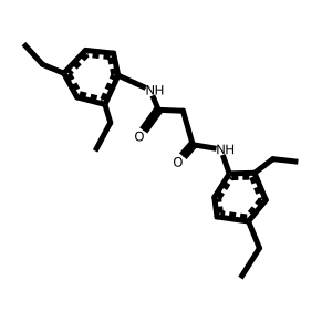 CCc1ccc(NC(=O)CC(=O)Nc2ccc(CC)cc2CC)c(CC)c1